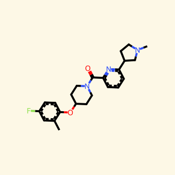 Cc1cc(F)ccc1OC1CCN(C(=O)c2cccc(C3CCN(C)C3)n2)CC1